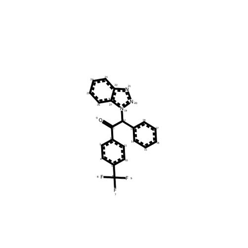 O=C(c1ccc(C(F)(F)F)cc1)C(c1ccccc1)n1nnc2ccccc21